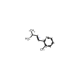 CC(C)/C=C/c1ncccc1Cl